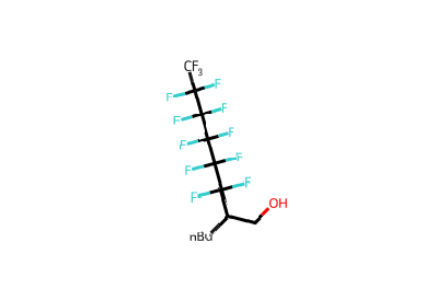 CCCCC(CO)C(F)(F)C(F)(F)C(F)(F)C(F)(F)C(F)(F)C(F)(F)F